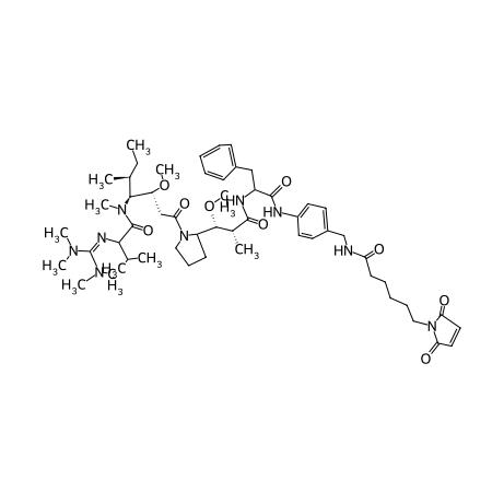 CC[C@H](C)[C@@H]([C@@H](CC(=O)N1CCCC1[C@H](OC)[C@@H](C)C(=O)NC(Cc1ccccc1)C(=O)Nc1ccc(CNC(=O)CCCCCN2C(=O)C=CC2=O)cc1)OC)N(C)C(=O)C(N=C(N(C)C)N(C)C)C(C)C